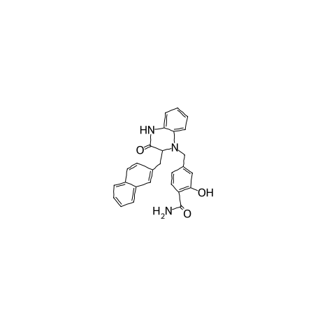 NC(=O)c1ccc(CN2c3ccccc3NC(=O)C2Cc2ccc3ccccc3c2)cc1O